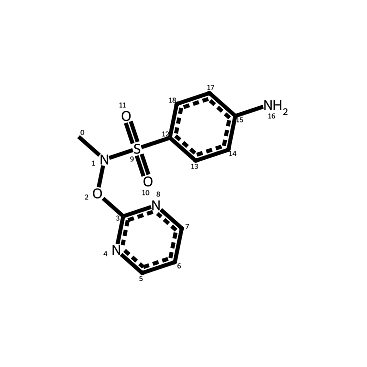 CN(Oc1ncccn1)S(=O)(=O)c1ccc(N)cc1